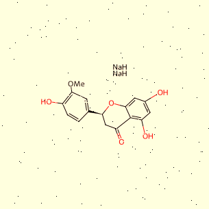 COc1cc([C@@H]2CC(=O)c3c(O)cc(O)cc3O2)ccc1O.[NaH].[NaH]